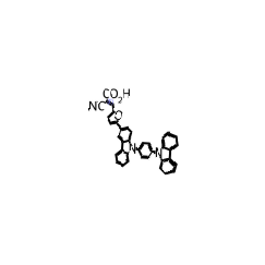 N#C/C(=C\c1ccc(-c2ccc3c(c2)c2ccccc2n3-c2ccc(-n3c4ccccc4c4ccccc43)cc2)o1)C(=O)O